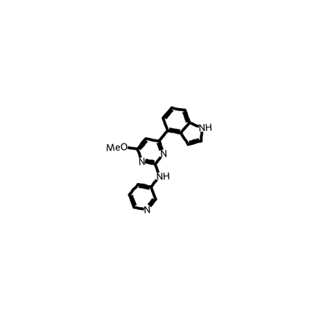 COc1cc(-c2cccc3[nH]ccc23)nc(Nc2cccnc2)n1